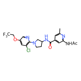 CC(=O)Nc1cc(C(=O)NC2CCN(c3ncc(OCC(F)(F)F)cc3Cl)C2)cc(C)n1